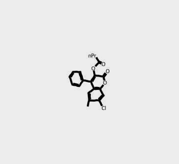 CCCC(=O)Oc1c(-c2ccccc2)c2cc(C)c(Cl)cc2oc1=O